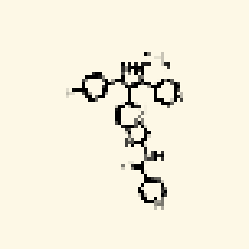 Cn1nc(-c2ccc(F)cc2)c(-c2ccc3nc(NC(=O)c4ccncc4)cn3n2)c1-c1ccncc1